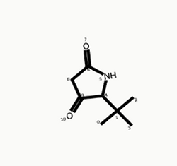 CC(C)(C)C1NC(=O)CC1=O